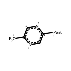 CCCC(C)c1cnc(C(F)(F)F)cn1